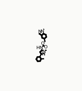 Cc1ccccc1-c1cc(NC(=O)OCc2ccc3c(cnn3C)c2)n(C)n1